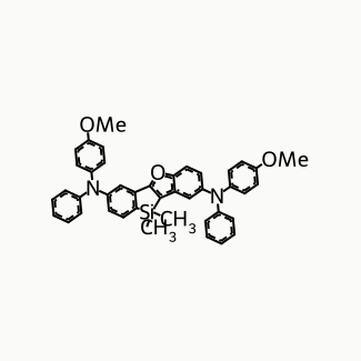 COc1ccc(N(c2ccccc2)c2ccc3c(c2)-c2oc4ccc(N(c5ccccc5)c5ccc(OC)cc5)cc4c2[Si]3(C)C)cc1